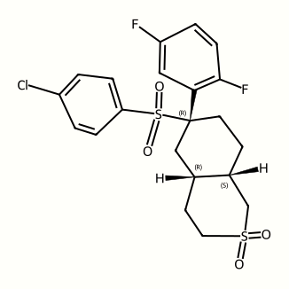 O=S1(=O)CC[C@@H]2C[C@](c3cc(F)ccc3F)(S(=O)(=O)c3ccc(Cl)cc3)CC[C@@H]2C1